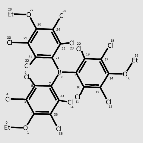 CCOc1c(Cl)c(Cl)c(B(c2c(Cl)c(Cl)c(OCC)c(Cl)c2Cl)c2c(Cl)c(Cl)c(OCC)c(Cl)c2Cl)c(Cl)c1Cl